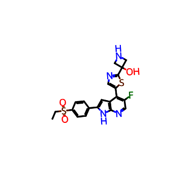 CCS(=O)(=O)c1ccc(-c2cc3c(-c4cnc(C5(O)CNC5)s4)c(F)cnc3[nH]2)cc1